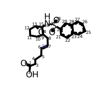 O=C(O)CCC/C=C/CC1C2CCC(O2)C1NS(=O)(=O)c1ccc2ccccc2c1